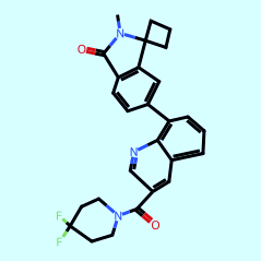 CN1C(=O)c2ccc(-c3cccc4cc(C(=O)N5CCC(F)(F)CC5)cnc34)cc2C12CCC2